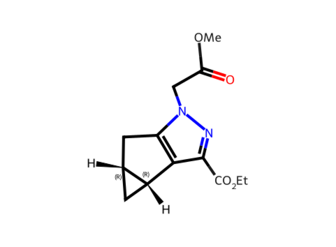 CCOC(=O)c1nn(CC(=O)OC)c2c1[C@@H]1C[C@@H]1C2